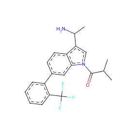 CC(C)C(=O)n1cc(C(C)N)c2ccc(-c3ccccc3C(F)(F)F)cc21